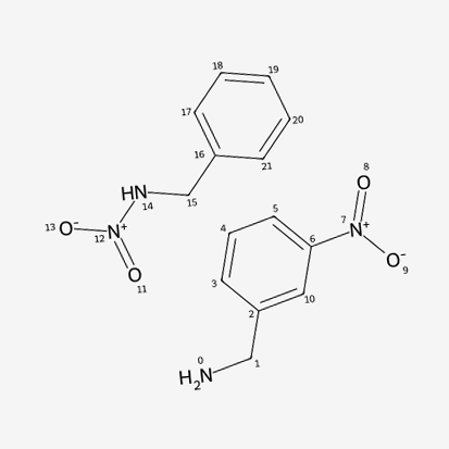 NCc1cccc([N+](=O)[O-])c1.O=[N+]([O-])NCc1ccccc1